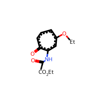 CCOC(=O)C(=O)Nc1cc(OCC)cccc1=O